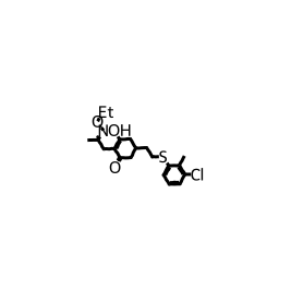 CCON=C(C)CC1=C(O)CC(CCSc2cccc(Cl)c2C)CC1=O